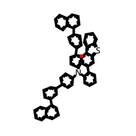 c1cc(-c2ccc(N(c3ccc(-c4ccc(-c5cccc6ccccc56)cc4)cc3)c3ccccc3-c3ccc4c(c3)sc3ccccc34)cc2)cc(-c2cccc3ccccc23)c1